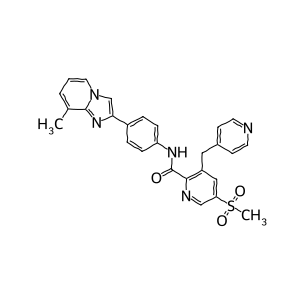 Cc1cccn2cc(-c3ccc(NC(=O)c4ncc(S(C)(=O)=O)cc4Cc4ccncc4)cc3)nc12